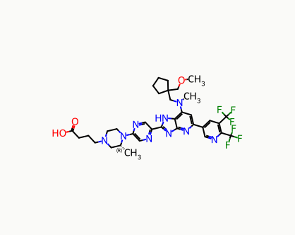 COCC1(CN(C)c2cc(-c3cnc(C(F)(F)F)c(C(F)(F)F)c3)nc3nc(-c4cnc(N5CCN(CCCC(=O)O)C[C@H]5C)cn4)[nH]c23)CCCC1